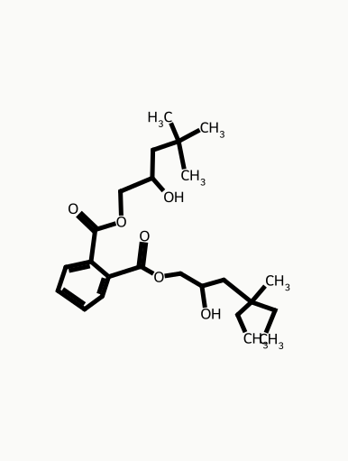 CCC(C)(CC)CC(O)COC(=O)c1ccccc1C(=O)OCC(O)CC(C)(C)C